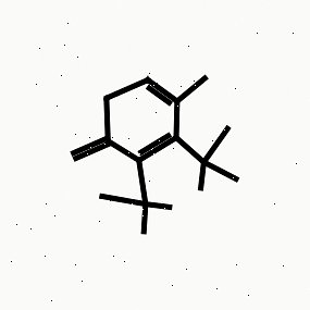 C=C1C[C]=C(C)C(C(C)(C)C)=C1C(C)(C)C